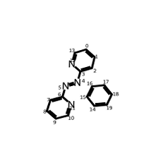 c1ccc(N=Nc2ccccn2)nc1.c1ccccc1